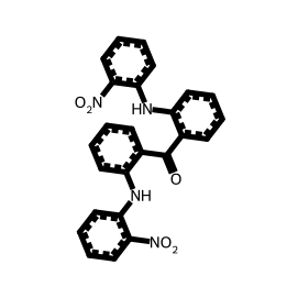 O=C(c1ccccc1Nc1ccccc1[N+](=O)[O-])c1ccccc1Nc1ccccc1[N+](=O)[O-]